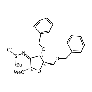 CO[C@H]1O[C@H](COCc2ccccc2)[C@@H](OCc2ccccc2)C1=N[S+]([O-])C(C)(C)C